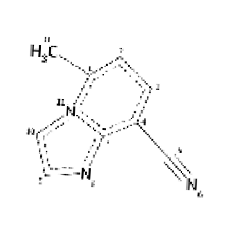 Cc1ccc(C#N)c2nccn12